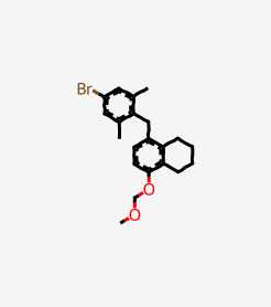 COCOc1ccc(Cc2c(C)cc(Br)cc2C)c2c1CCCC2